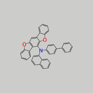 c1ccc(-c2ccc(N(c3cccc4ccccc34)c3c4oc5ccccc5c4cc4oc5ccccc5c34)cc2)cc1